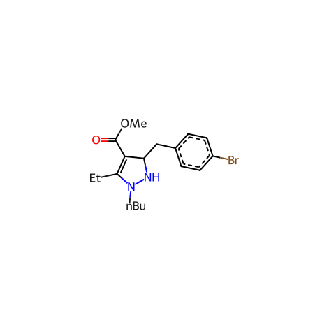 CCCCN1NC(Cc2ccc(Br)cc2)C(C(=O)OC)=C1CC